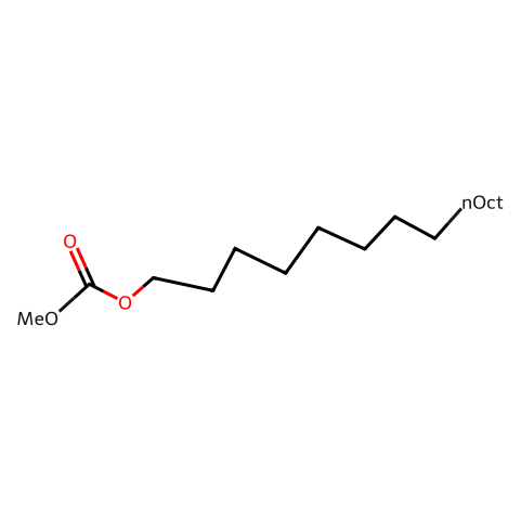 CCCCCCCCCCCCCCCCOC(=O)OC